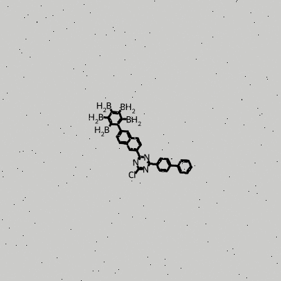 Bc1c(B)c(B)c(-c2ccc3cc(-c4nc(Cl)nc(-c5ccc(-c6ccccc6)cc5)n4)ccc3c2)c(B)c1B